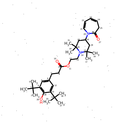 CC(C)(C)c1cc(CCC(=O)OCCN2C(C)(C)CC(N3C=CC=CCC3=O)CC2(C)C)cc(C(C)(C)C)c1O